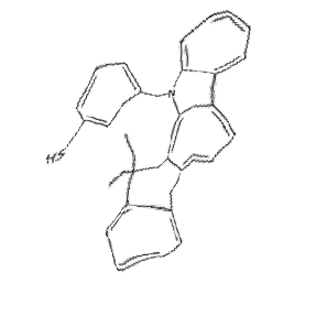 CC1(C)c2ccccc2-c2ccc3c4ccccc4n(-c4cccc(S)c4)c3c21